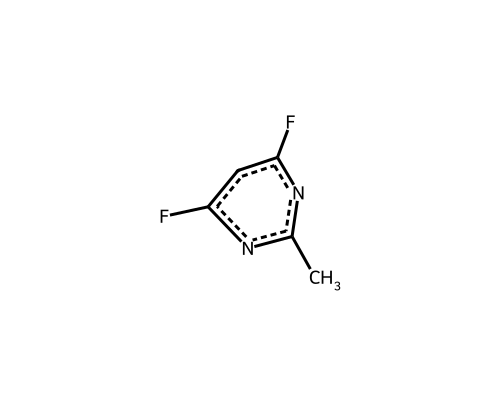 Cc1nc(F)cc(F)n1